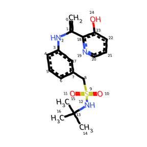 C=C(Nc1cccc(CS(=O)(=O)NC(C)(C)C)c1)c1ncccc1O